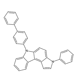 c1ccc(-c2ccc(-n3c4ccccc4c4c5ccn(-c6ccccc6)c5ccc43)cc2)cc1